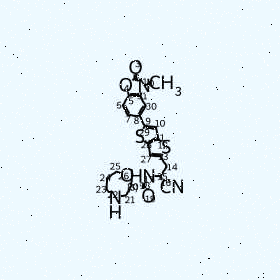 Cn1c(=O)oc2ccc(-c3cc4sc(CC(C#N)NC(=O)[C@@H]5CNCCCO5)cc4s3)cc21